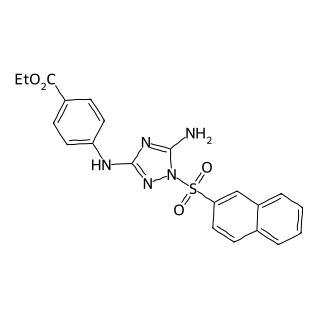 CCOC(=O)c1ccc(Nc2nc(N)n(S(=O)(=O)c3ccc4ccccc4c3)n2)cc1